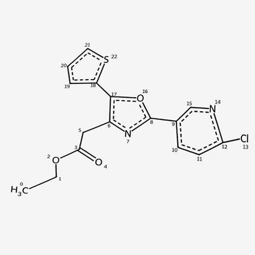 CCOC(=O)Cc1nc(-c2ccc(Cl)nc2)oc1-c1cccs1